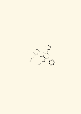 CCOC(=O)C1=C(CN2CCSC[C@H]2CCC(=O)O)NC(c2nccs2)=N[C@H]1c1ccc(Cl)cc1Cl